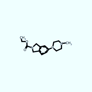 CCOC(=O)N1Cc2ccc(N3CCN(C)CC3)cc2C1